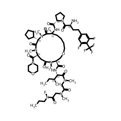 CCCN(F)C(=O)CN(C)C(=O)CN(C)C(=O)[C@@H](NC(=O)[C@@H]1COCCCC[C@](C)(NC(=O)[C@@H]2CCCN2C(=O)[C@@H](N)CCc2cc(F)c(C(F)(F)F)c(F)c2)C(=O)N(C)[C@@H](C2CCCC2)C(=O)N(C)[C@H](C(=O)N2CCOCC2)CC(=O)N1C)[C@@H](C)CC